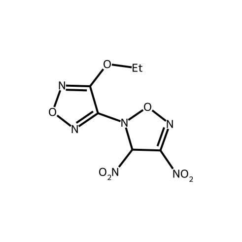 CCOc1nonc1N1ON=C([N+](=O)[O-])C1[N+](=O)[O-]